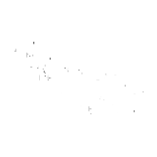 Cc1cc(N[C@@H]2CCCN(C)C2)nnc1-c1ccc2sccc2c1O